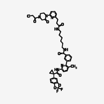 Cc1ccc(NC(=O)C2(c3ccc4c(c3)OC(F)(F)O4)CC2)nc1-c1cccc(C(=O)NCCCCCCNC(=O)CCc2cccc(N3CCN(C(=O)CCl)CC3=O)n2)c1